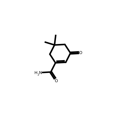 CC1(C)CC(=O)C=C(C(N)=O)C1